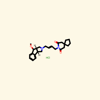 COC1c2ccccc2[C@H]2CN(CC=CCN3C(=O)CC4(CCCC4)CC3=O)C[C@@H]12.Cl